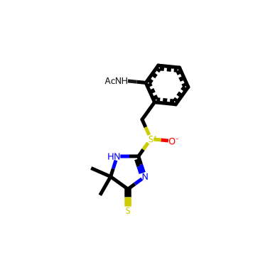 CC(=O)Nc1ccccc1C[S+]([O-])C1=NC(=S)C(C)(C)N1